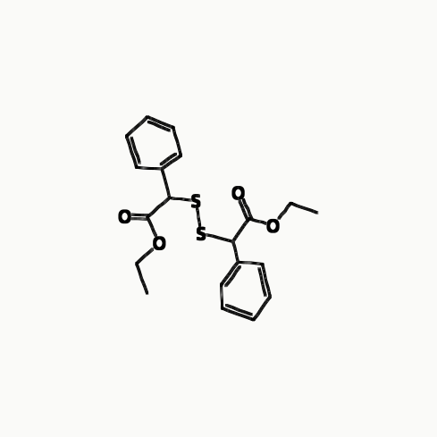 CCOC(=O)C(SSC(C(=O)OCC)c1ccccc1)c1ccccc1